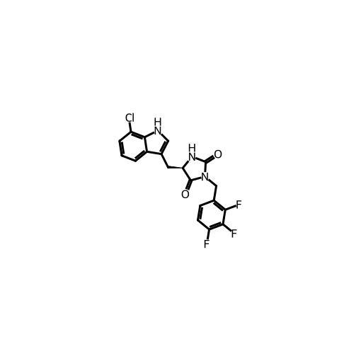 O=C1N[C@H](Cc2c[nH]c3c(Cl)cccc23)C(=O)N1Cc1ccc(F)c(F)c1F